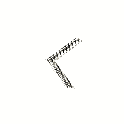 [GeH3].[GeH3].[GeH3].[GeH3].[GeH3].[GeH3].[GeH3].[GeH3].[GeH3].[GeH3].[GeH3].[GeH3].[GeH3].[GeH3].[GeH3].[GeH3].[GeH3].[GeH3].[GeH3].[GeH3].[GeH3].[GeH3].[GeH3].[GeH3].[GeH3].[GeH3].[GeH3].[GeH3].[GeH3].[GeH3].[GeH3].[GeH3].[GeH3].[GeH3].[GeH3].[GeH3].[GeH3]